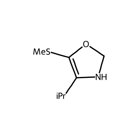 CSC1=C(C(C)C)NCO1